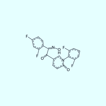 O=C(C(=NO)c1ccc(F)cc1F)c1ccc(=O)n(-c2c(F)cccc2F)c1